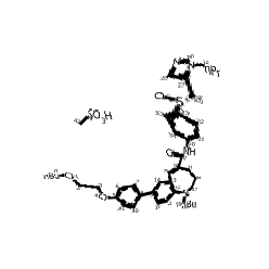 CCCCOCCOc1ccc(-c2ccc3c(c2)C=C(C(=O)Nc2ccc([S+]([O-])Cc4cncn4CCC)cc2)CCCN3CCCC)cc1.CS(=O)(=O)O